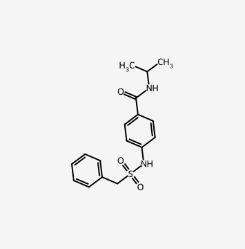 CC(C)NC(=O)c1ccc(NS(=O)(=O)Cc2ccccc2)cc1